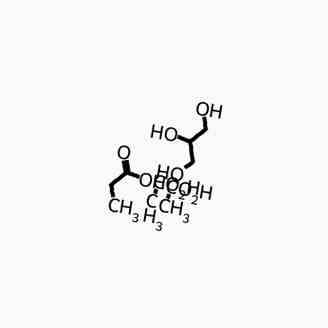 CC(=O)O.CC(=O)O.CCC(=O)O.OCC(O)CO